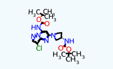 CC(C)(C)OC(=O)Nc1cc(N2CC[C@H](NC(=O)OC(C)(C)C)C2)nc2c(Cl)cnn12